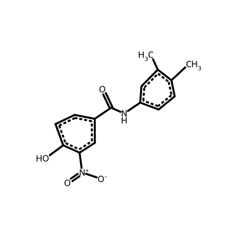 Cc1ccc(NC(=O)c2ccc(O)c([N+](=O)[O-])c2)cc1C